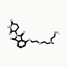 CN(CCN)CCOCCOc1cccc2c1C(=O)N(C1CCC(=O)NC1=O)C2=O